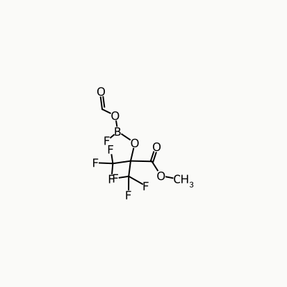 COC(=O)C(OB(F)OC=O)(C(F)(F)F)C(F)(F)F